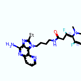 C/C=C(F)\C(=C(\F)CC(=O)NCCCCn1c(CC)nc2c(N)nc3cccnc3c21)N(C)C